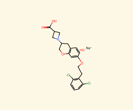 O=C(O)C1CN(C2COc3cc(OCCc4c(Cl)cccc4Cl)ccc3C2)C1.[Na+].[OH-]